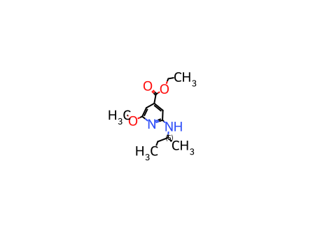 CCOC(=O)c1cc(N[C@@H](C)CC)nc(OC)c1